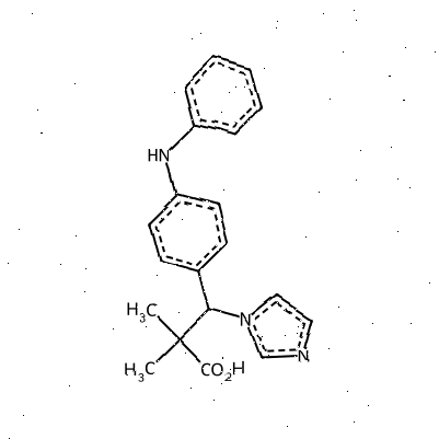 CC(C)(C(=O)O)C(c1ccc(Nc2ccccc2)cc1)n1ccnc1